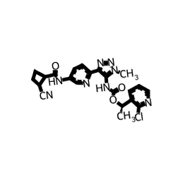 C[C@@H](OC(=O)Nc1c(-c2ccc(NC(=O)C3CCC3C#N)cn2)nnn1C)c1cccnc1Cl